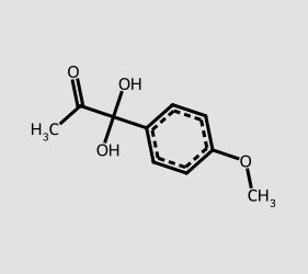 COc1ccc(C(O)(O)C(C)=O)cc1